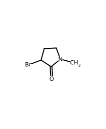 CN1[CH]CC(Br)C1=O